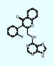 O=c1c(-c2ccccc2F)c(CNc2ncnc3[nH]cnc23)oc2ccccc12